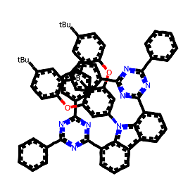 CC(C)(C)c1ccc2c(c1)B1c3cc(C(C)(C)C)ccc3Oc3cc(-n4c5c(-c6nc(-c7ccccc7)nc(-c7ccccc7)n6)cccc5c5cccc(-c6nc(-c7ccccc7)nc(-c7ccccc7)n6)c54)cc(c31)O2